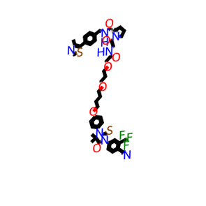 Cc1ncsc1-c1ccc(CNC(=O)[C@@H]2CCCN2C(=O)CNC(=O)COCCCOCCCCOc2ccc(N3C(=S)N(c4ccc(C#N)c(C(F)(F)F)c4)C(=O)C3(C)C)cc2)cc1